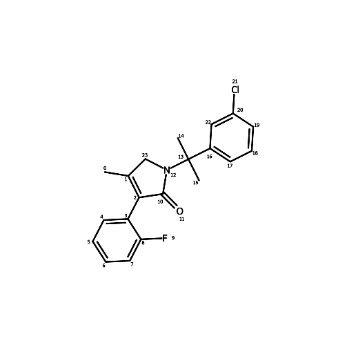 CC1=C(c2ccccc2F)C(=O)N(C(C)(C)c2cccc(Cl)c2)C1